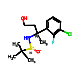 CC(C)(C)[S@@+]([O-])N[C@@](C)(CCO)c1cccc(Cl)c1F